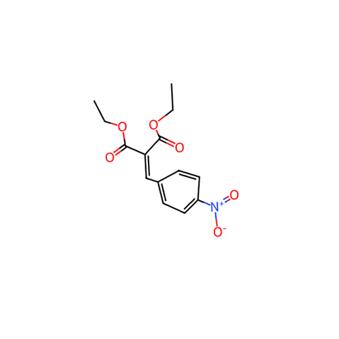 CCOC(=O)C(=Cc1ccc([N+](=O)[O-])cc1)C(=O)OCC